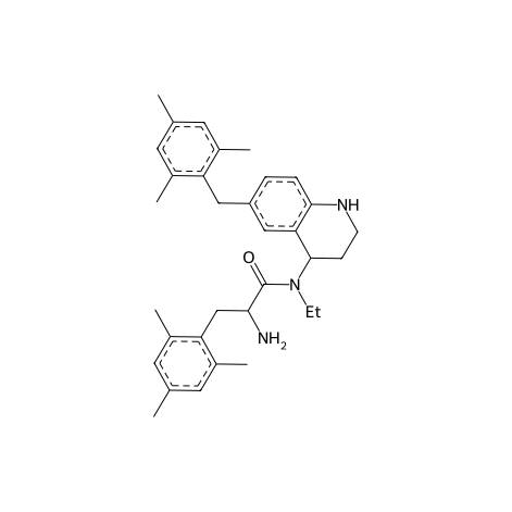 CCN(C(=O)C(N)Cc1c(C)cc(C)cc1C)C1CCNc2ccc(Cc3c(C)cc(C)cc3C)cc21